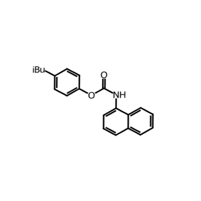 CCC(C)c1ccc(OC(=O)Nc2cccc3ccccc23)cc1